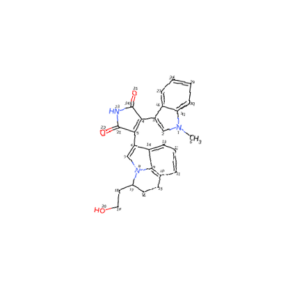 Cn1cc(C2=C(c3cn4c5c(cccc35)CCC4CCO)C(=O)NC2=O)c2ccccc21